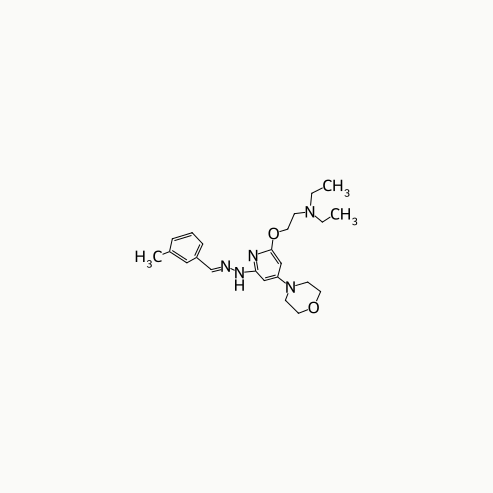 CCN(CC)CCOc1cc(N2CCOCC2)cc(NN=Cc2cccc(C)c2)n1